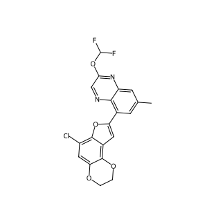 Cc1cc(-c2cc3c4c(cc(Cl)c3o2)OCCO4)c2ncc(OC(F)F)nc2c1